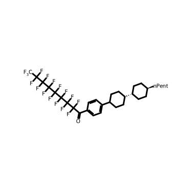 CCCCC[C@H]1CC[C@H](C2CCC(c3ccc(C(=O)C(F)(F)C(F)(F)C(F)(F)C(F)(F)C(F)(F)C(F)(F)C(F)(F)C(F)(F)F)cc3)CC2)CC1